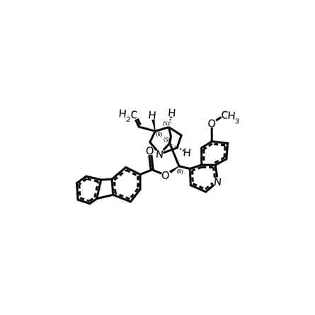 C=C[C@H]1CN2CC[C@H]1C[C@H]2[C@H](OC(=O)c1ccc2c(c1)-c1ccccc1-2)c1ccnc2ccc(OC)cc12